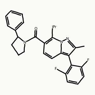 Cc1nn2c(C(C)C)c(C(=O)N3CCCC3c3ccccc3)ccc2c1-c1c(F)cccc1F